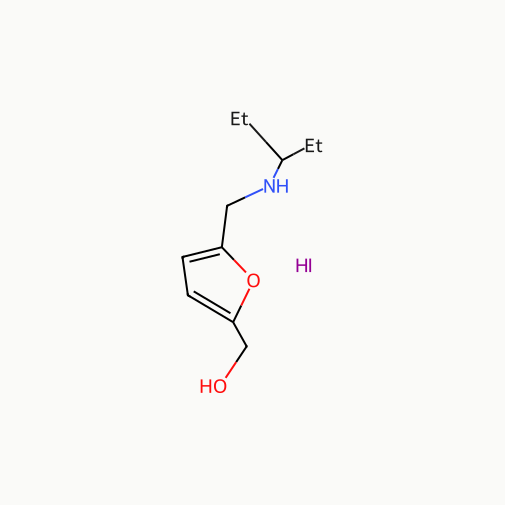 CCC(CC)NCc1ccc(CO)o1.I